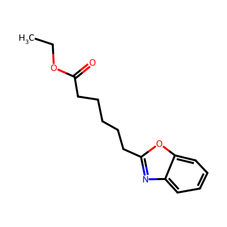 CCOC(=O)CCCCCc1nc2ccccc2o1